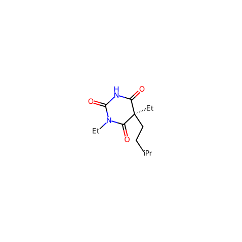 [CH2]CN1C(=O)NC(=O)[C@@](CC)(CCC(C)C)C1=O